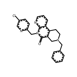 O=c1c2c(c3cccnc3n1Cc1ccc(Cl)cn1)CCN(Cc1ccccc1)C2